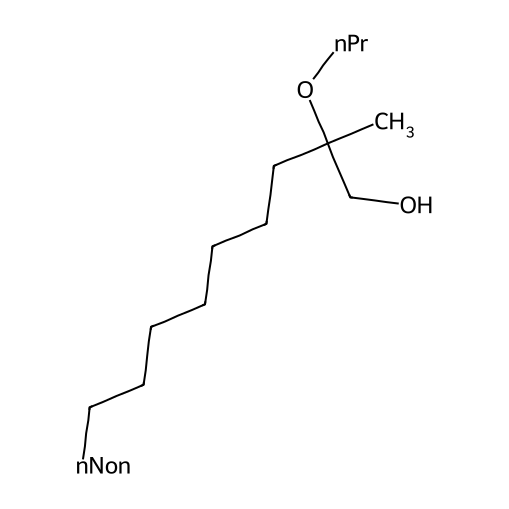 CCCCCCCCCCCCCCCCC(C)(CO)OCCC